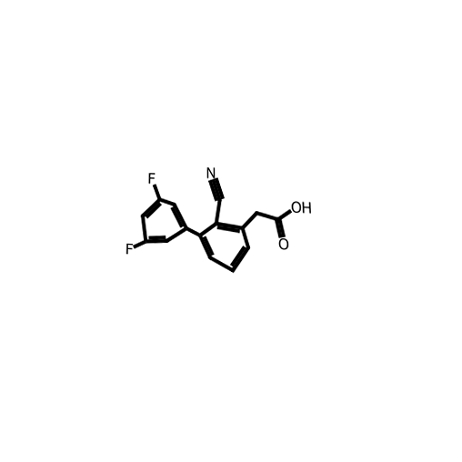 N#Cc1c(CC(=O)O)cccc1-c1cc(F)cc(F)c1